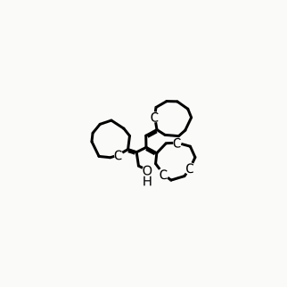 OCC(=C1CCCCCCCCC1)C(C=C1CCCCCCCCC1)=C1CCCCCCCCC1